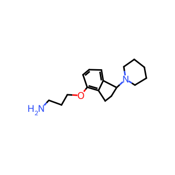 NCCCOc1cccc2c1CCC2N1CCCCC1